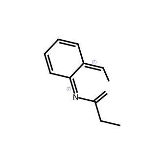 C=C(CC)/N=C1/C=CC=C/C1=C/C